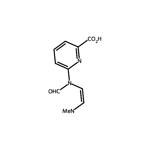 CN/C=C\N(C=O)c1cccc(C(=O)O)n1